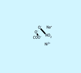 O=C([O-])[O-].O=[N+]([O-])[O-].[Na+].[Ni+2]